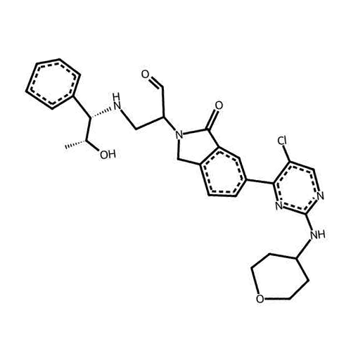 C[C@@H](O)[C@@H](NCC(C=O)N1Cc2ccc(-c3nc(NC4CCOCC4)ncc3Cl)cc2C1=O)c1ccccc1